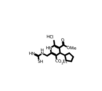 CCOC(=O)C1=C(CNC(=N)S)NC(C)=C(C(=O)OC)C1C1CCCC1.Cl